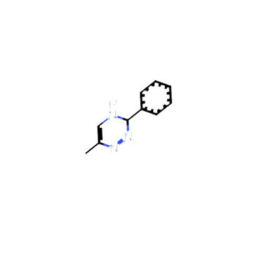 CC1=CNC(c2ccccc2)N=N1